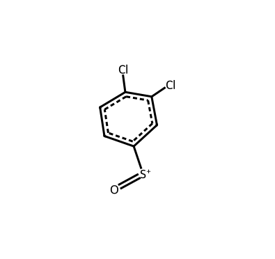 O=[S+]c1ccc(Cl)c(Cl)c1